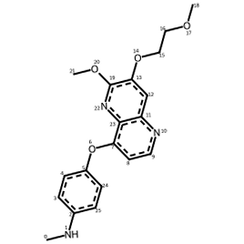 CNc1ccc(Oc2ccnc3cc(OCCOC)c(OC)nc23)cc1